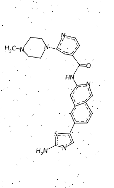 CN1CCN(c2cc(C(=O)Nc3cc4cc(-c5cnc(N)s5)ccc4cn3)ccn2)CC1